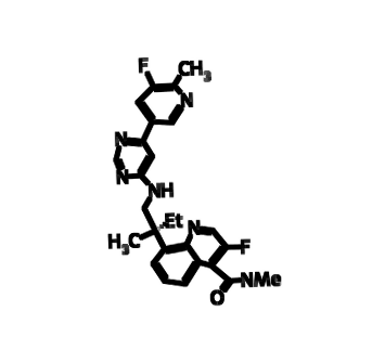 CC[C@](C)(CNc1cc(-c2cnc(C)c(F)c2)ncn1)c1cccc2c(C(=O)NC)c(F)cnc12